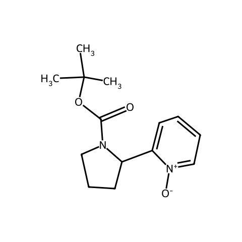 CC(C)(C)OC(=O)N1CCCC1c1cccc[n+]1[O-]